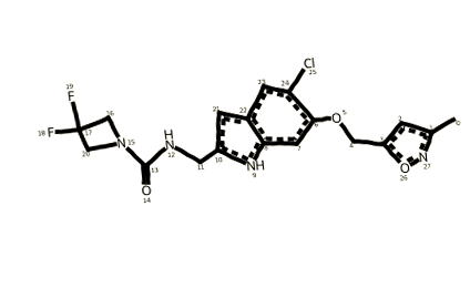 Cc1cc(COc2cc3[nH]c(CNC(=O)N4CC(F)(F)C4)cc3cc2Cl)on1